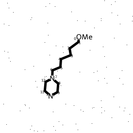 COCCCCCCN1CC[N]CC1